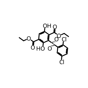 CCOC(=O)c1cc(O)c(C(=O)OCC)c(S(=O)(=O)c2cc(Cl)ccc2Cl)c1O